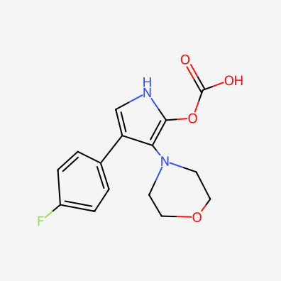 O=C(O)Oc1[nH]cc(-c2ccc(F)cc2)c1N1CCOCC1